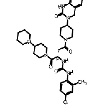 Cc1cc(Cl)ccc1NC(=O)N[C@@H](CC(=O)N1CCC(N2Cc3ccccc3NC2=O)CC1)C(=O)N1CCC(N2CCCCC2)CC1